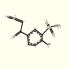 CC(C)c1ccc(C(=O)C=[N+]=[N-])cc1S(N)(=O)=O